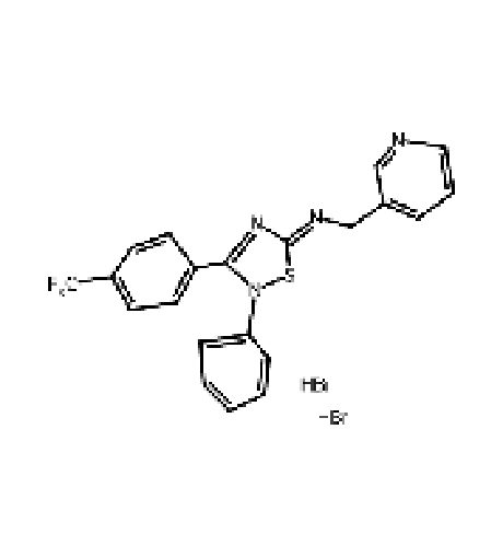 Br.Br.FC(F)(F)c1ccc(-c2nc(=NCc3cccnc3)sn2-c2ccccc2)cc1